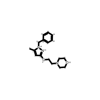 Cc1cc(OCCN2CCOCC2)nn1Cc1ccccc1